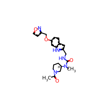 CC(=O)N1CCC[C@@H](N(C)C(=O)NCc2cc3ccc(OCc4ccon4)cc3[nH]2)C1